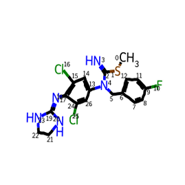 CSC(=N)N(Cc1ccc(F)cc1)c1cc(Cl)c(N=C2NCCN2)c(Cl)c1